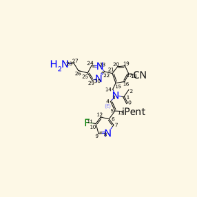 C=C(C)N(/C=C(/c1cncc(F)c1)C(C)CCC)Cc1cc(C#N)ccc1-c1ncc(CCN)cn1